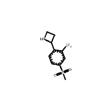 CS(=O)(=O)c1ccc(C2CCN2)c(C(F)(F)F)c1